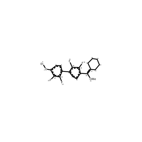 CCOc1ccc(-c2ccc(C(OC)=C3CCCCC3)c(F)c2F)c(F)c1F